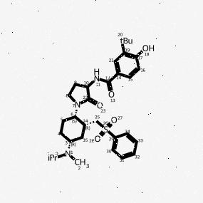 CC(C)N(C)[C@@H]1CC[C@H](N2CCC(NC(=O)c3ccc(O)c(C(C)(C)C)c3)C2=O)[C@H](CS(=O)(=O)c2ccccc2)C1